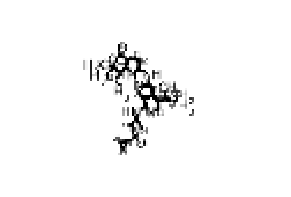 C[C@@H]1c2nc(Nc3cc4c(C(C)(C)N)cnc(NC5CN(C(=O)C6CC6)C5)c4cn3)ccc2C(=O)OC1(C)C